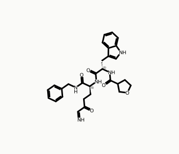 N=CC(=O)CC[C@H](NC(=O)[C@H](Cc1c[nH]c2ccccc12)NC(=O)C1CCOC1)C(=O)NCc1ccccc1